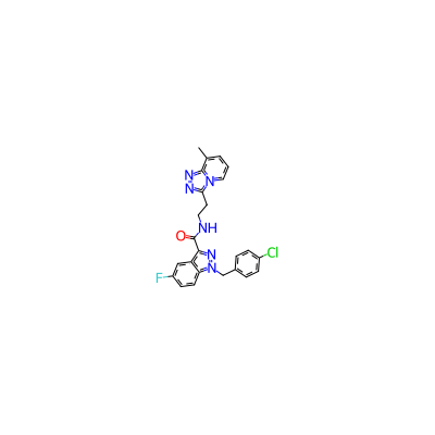 Cc1cccn2c(CCNC(=O)c3nn(Cc4ccc(Cl)cc4)c4ccc(F)cc34)nnc12